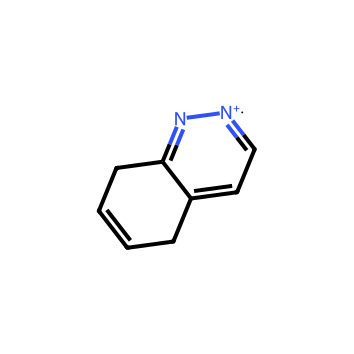 C1=CCC2=N[N+]=CC=C2C1